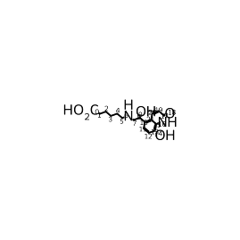 O=C(O)CCCCCNCC(O)c1ccc(O)c2[nH]c(=O)ccc12